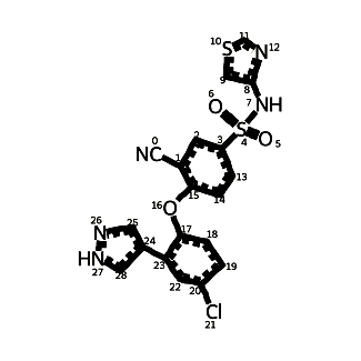 N#Cc1cc(S(=O)(=O)Nc2cscn2)ccc1Oc1ccc(Cl)cc1-c1cn[nH]c1